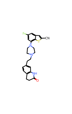 N#Cc1cc2cc(F)cc(N3CCN(CCc4ccc5c(c4)NC(=O)CC5)CC3)c2s1